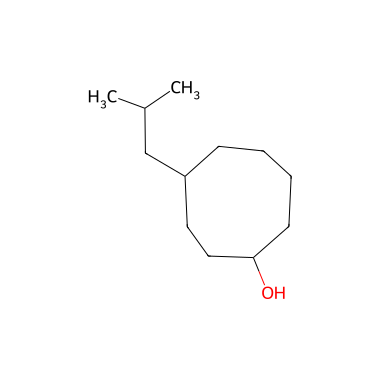 CC(C)CC1CCCCC(O)CC1